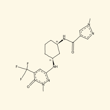 Cn1cc(C(=O)N[C@@H]2CCC[C@H](Nc3cc(C(F)(F)F)c(=O)n(C)n3)C2)cn1